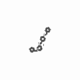 c1ccc(COc2ccc(-c3nc4c[n+](Cc5ccccc5)ccc4o3)cc2)cc1